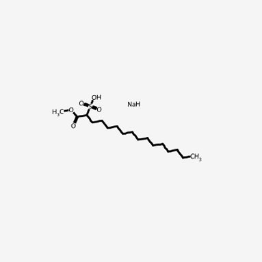 CCCCCCCCCCCCCCC(C(=O)OC)S(=O)(=O)O.[NaH]